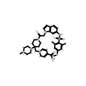 COc1cc(C)c(S(=O)(=O)Nc2ccc3ccn(CC(=O)N4CCC(CN5C=CC(C(=O)O)=CC5)(N5CCN(C)CC5)CC4)c3c2)c(C)c1